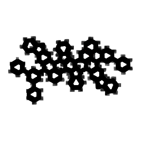 c1ccc(-c2cc(-c3ccccc3)cc(N3c4cc5c(cc4B4c6c(cccc63)-c3c6c7ccccc7n7c6c(c6c8ccccc8n4c36)-c3cccc4c3B7c3cc6oc7ccccc7c6cc3N4c3cc(-c4ccccc4)ccc3-c3ccccc3)oc3ccccc35)c2)cc1